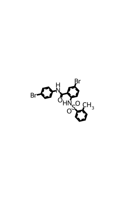 Cc1ccccc1S(=O)(=O)Nc1ccc(Br)cc1C(=O)Nc1ccc(Br)cc1